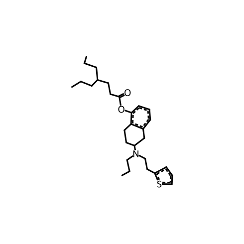 CCCC(CCC)CCC(=O)Oc1cccc2c1CCC(N(CCC)CCc1cccs1)C2